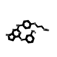 COCCOc1ccc(Nc2nc(Oc3cccc(N)c3)c3cc[nH]c3n2)cc1